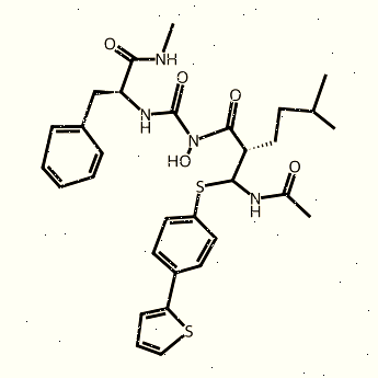 CNC(=O)[C@H](Cc1ccccc1)NC(=O)N(O)C(=O)[C@H](CCC(C)C)C(NC(C)=O)Sc1ccc(-c2cccs2)cc1